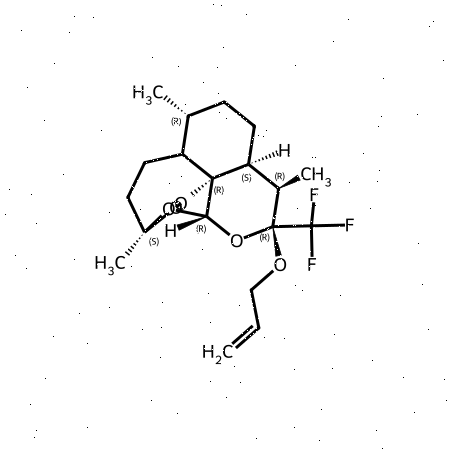 C=CCO[C@@]1(C(F)(F)F)O[C@@H]2O[C@]3(C)CCC4[C@H](C)CC[C@@H]([C@H]1C)[C@]42OO3